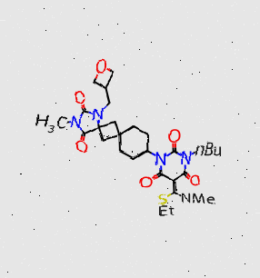 CCCCN1C(=O)/C(=C(\NC)SCC)C(=O)N(C2CCC3(CC2)CC2(C3)C(=O)N(C)C(=O)N2CC2COC2)C1=O